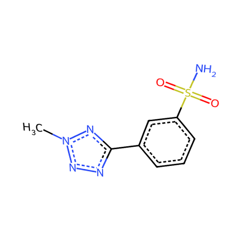 Cn1nnc(-c2cccc(S(N)(=O)=O)c2)n1